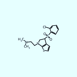 CN(C)CCN1CC(S(=O)(=O)c2ccccc2Cl)c2ccsc21